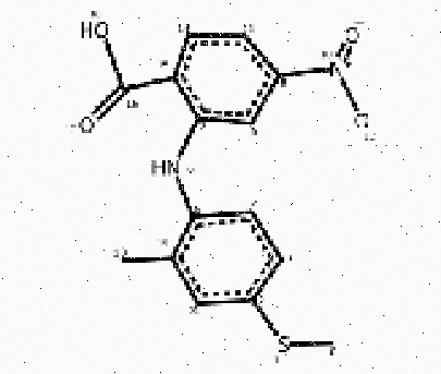 CSc1ccc(Nc2cc([N+](=O)[O-])ccc2C(=O)O)c(C)c1